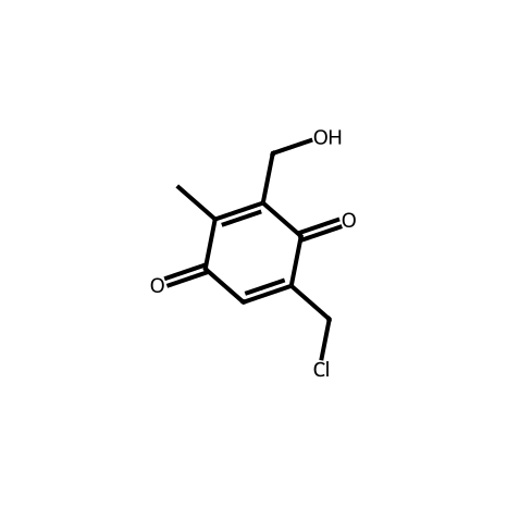 CC1=C(CO)C(=O)C(CCl)=CC1=O